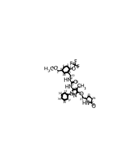 COCc1ccc(OC(F)(F)F)c(CNC(=O)Nc2c(C)c(OCC3CCC(=O)N3)nn2-c2ccccc2)c1